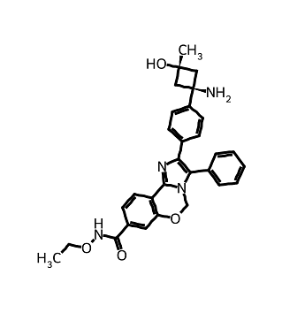 CCONC(=O)c1ccc2c(c1)OCn1c-2nc(-c2ccc([C@]3(N)C[C@](C)(O)C3)cc2)c1-c1ccccc1